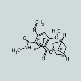 C=Nc1cc(OC)c(O[C@H]2[C@@H]3C[C@H]2CN(C(=O)C(F)(F)F)C3)cc1C(=O)NC